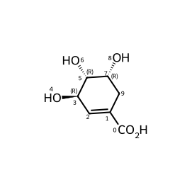 O=C(O)C1=C[C@@H](O)[C@H](O)[C@H](O)C1